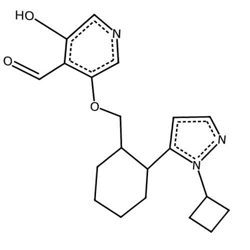 O=Cc1c(O)cncc1OCC1CCCCC1c1ccnn1C1CCC1